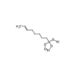 C/C=C/CCCCC[Si](OCC)(OCC)OCC